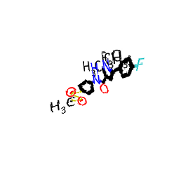 Cc1c(C(=O)Nc2ccc(S(C)(=O)=O)cc2)cc(-c2ccc(F)cc2C(F)(F)F)n1C